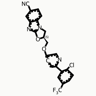 N#Cc1ccc2c(c1)nc1n2C[C@@H](COc2ccc(-c3cc(C(F)(F)F)ccc3Cl)nc2)O1